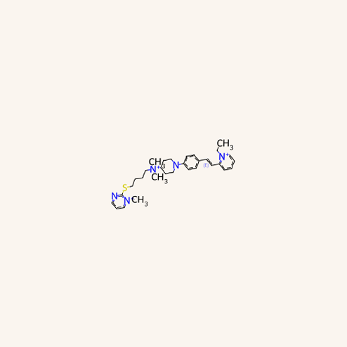 CC[n+]1ccccc1/C=C/c1ccc(N2CCC([N+](C)(C)CCCCSc3nccc[n+]3C)CC2)cc1